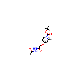 CC(=O)NNC(=O)CO[C@H]1CCN(C(=O)OC(C)(C)C)[C@@H](C)C1